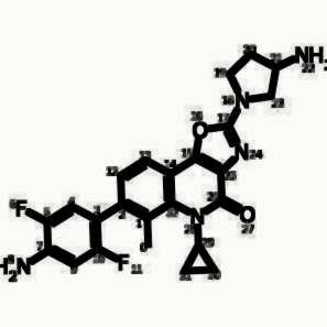 Cc1c(-c2cc(F)c(N)cc2F)ccc2c3oc(N4CCC(N)C4)nc3c(=O)n(C3CC3)c12